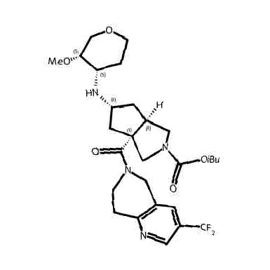 CO[C@@H]1COCC[C@@H]1N[C@@H]1C[C@H]2CN(C(=O)OCC(C)C)C[C@@]2(C(=O)N2CCc3ncc(C(F)(F)F)cc3C2)C1